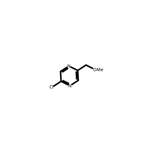 COCc1cnc(Cl)cn1